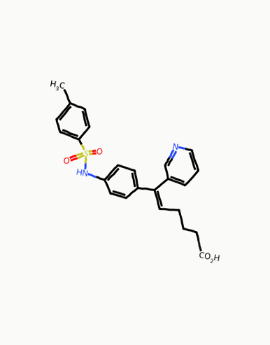 Cc1ccc(S(=O)(=O)Nc2ccc(C(=CCCCC(=O)O)c3cccnc3)cc2)cc1